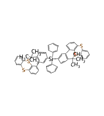 CC(C)(C)c1ccc([Si](c2ccccc2)(c2ccccc2)c2ccc(C(C)(C)C)c(-c3cccc4c3Sc3ccccc3S4)c2)cc1-c1cccc2c1Sc1ccccc1S2